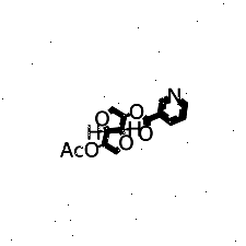 CC(=O)O[C@H]1CO[C@H]2[C@@H]1OC[C@H]2OC(=O)c1cccnc1